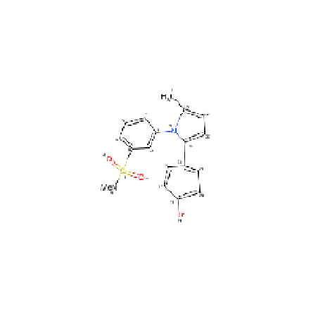 CNS(=O)(=O)c1cccc(-n2c(C)ccc2-c2ccc(Br)cc2)c1